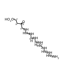 NNNNNNNNNNNNNCC(=O)CCC(=O)O